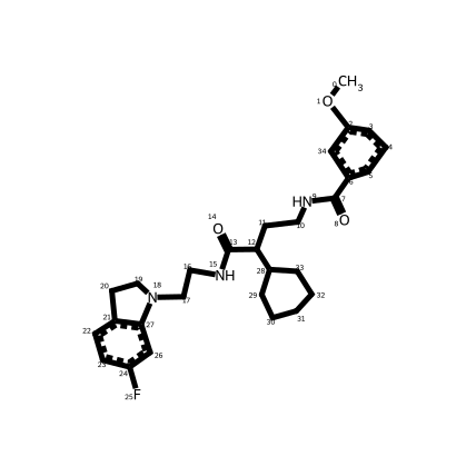 COc1cccc(C(=O)NCCC(C(=O)NCCN2CCc3ccc(F)cc32)C2CCCCC2)c1